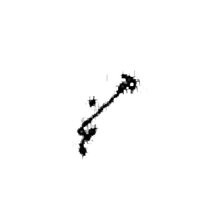 CCCCC1(CC)CS(=O)(=O)c2ccc(N(C)C)cc2C(c2cccc(NC(=O)CCOCCOCCOCCOCCOCCC(=O)NCc3cccc(C4C(CCC(O)c5ccc(F)cc5)C(=O)N4c4ccc(F)cc4)c3)c2)C1O.O=C(O)C(F)(F)F